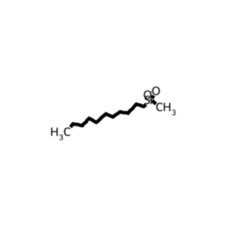 CCCCCCCCCCC[Si]1(C)OO1